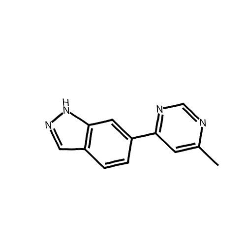 Cc1cc(-c2ccc3cn[nH]c3c2)ncn1